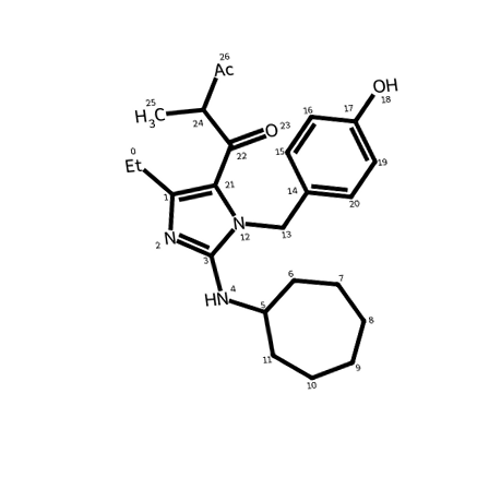 CCc1nc(NC2CCCCCC2)n(Cc2ccc(O)cc2)c1C(=O)C(C)C(C)=O